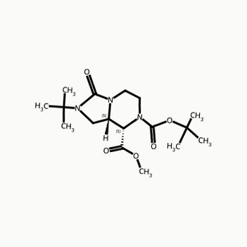 COC(=O)[C@@H]1[C@@H]2CN(C(C)(C)C)C(=O)N2CCN1C(=O)OC(C)(C)C